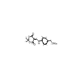 CSCc1ccc(NC=C2C(=O)OC(C)(C)OC2=O)cc1